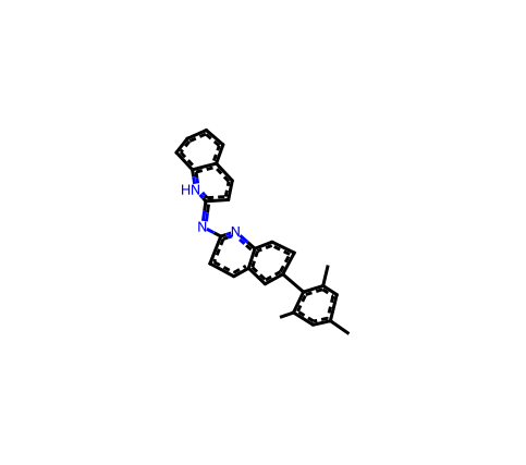 Cc1cc(C)c(-c2ccc3nc(N=c4ccc5ccccc5[nH]4)ccc3c2)c(C)c1